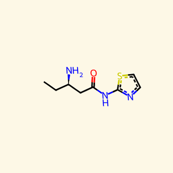 CC[C@@H](N)CC(=O)Nc1nccs1